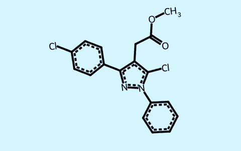 COC(=O)Cc1c(-c2ccc(Cl)cc2)nn(-c2ccccc2)c1Cl